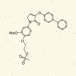 COc1cc(N2CC=C(Oc3ccc(-c4ccccc4)cc3)C2=O)ccc1OCCOS(C)(=O)=O